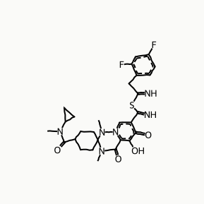 CN(C(=O)C1CCC2(CC1)N(C)C(=O)c1c(O)c(=O)c(C(=N)SC(=N)Cc3ccc(F)cc3F)cn1N2C)C1CC1